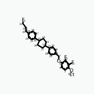 CCOc1ccc(OCc2ccc(C3CCC(c4ccc(/C=C/CF)cc4)CC3)cc2)c(F)c1F